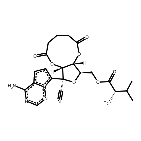 CC(C)[C@H](N)C(=O)OC[C@H]1O[C@@](C#N)(c2ccc3c(N)ncnn23)[C@@H]2OC(=O)CCCC(=O)O[C@@H]21